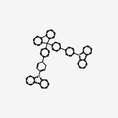 C1=CC(c2ccc(C3(c4ccc(-c5ccc(-n6c7ccccc7c7ccccc76)cc5)cc4)c4ccccc4-c4ccccc43)cc2)CC=C1n1c2ccccc2c2ccccc21